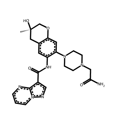 C[C@]1(O)COc2cc(N3CCN(CC(N)=O)CC3)c(NC(=O)c3cnn4cccnc34)cc2C1